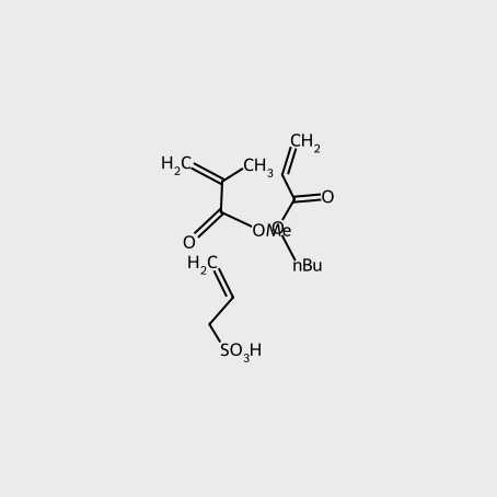 C=C(C)C(=O)OC.C=CC(=O)OCCCC.C=CCS(=O)(=O)O